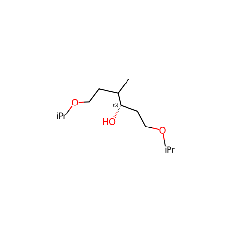 CC(C)OCCC(C)[C@@H](O)CCOC(C)C